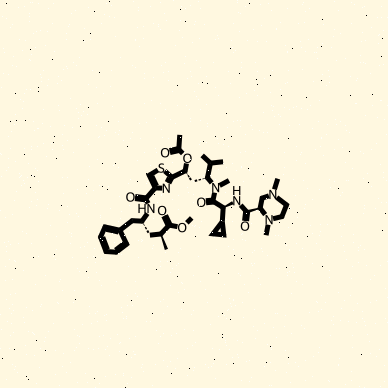 COC(=O)[C@@H](C)C[C@H](Cc1ccccc1)NC(=O)c1csc([C@@H](C[C@H](C(C)C)N(C)C(=O)[C@@H](NC(=O)[C@H]2CN(C)CCN2C)C2CC2)OC(C)=O)n1